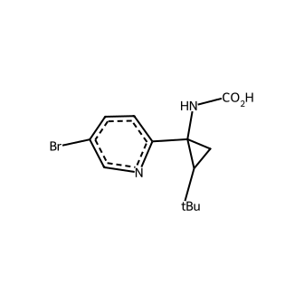 CC(C)(C)C1CC1(NC(=O)O)c1ccc(Br)cn1